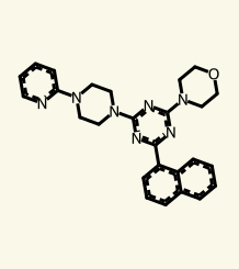 c1ccc(N2CCN(c3nc(-c4cccc5ccccc45)nc(N4CCOCC4)n3)CC2)nc1